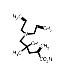 C=CCN(CC=C)CC(C)(C)CC(=C)C(=O)O